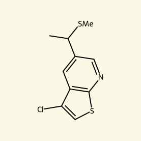 CSC(C)c1cnc2scc(Cl)c2c1